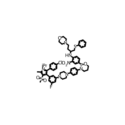 Cc1c(S(C)(=O)=O)c(-c2cc(F)cc(N3CCN(c4ccc(N5CCCOP5c5ccc(NC(CCN6CCOCC6)CSc6ccccc6)c([N+](=O)[O-])c5)cc4)CC3)c2)c(-c2ccc(Cl)cc2)n1C(C)C